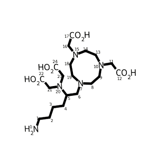 NCCCCC(CN1CCN(CC(=O)O)CCN(CC(=O)O)CC1)N(CC(=O)O)CC(=O)O